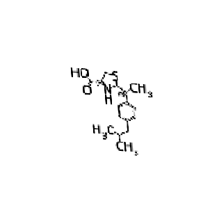 CC(C)Cc1ccc([C@@H](C)C2N[C@H](C(=O)O)CS2)cc1